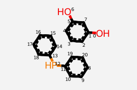 Oc1cccc(O)c1.c1ccc(Pc2ccccc2)cc1